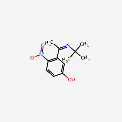 C/C(=N/C(C)(C)C)c1cc(O)ccc1[N+](=O)[O-]